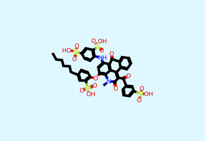 CCCCCCc1ccc(Oc2cc(Nc3ccc(S(=O)(=O)O)cc3S(=O)(=O)O)c3c4c(c(C(=O)c5cccc(S(=O)(=O)O)c5)c(=O)n(C)c24)-c2ccccc2C3=O)c(S(=O)(=O)O)c1